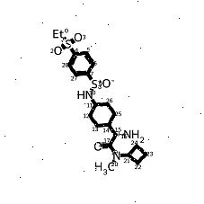 CCS(=O)(=O)c1ccc([S+]([O-])NC2CCC([C@H](N)C(=O)N(C)C3CCC3)CC2)cc1